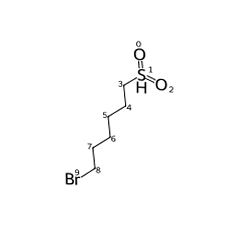 O=[SH](=O)CCCCCCBr